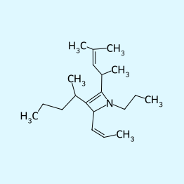 C/C=C\C1C(C(C)CCC)=C(C(C)C=C(C)C)N1CCC